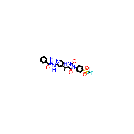 CC(c1ccnc(NNC(=O)c2ccccc2)c1)C1NC(=O)N(c2ccc(S(=O)(=O)C(F)(F)F)cc2)C1=O